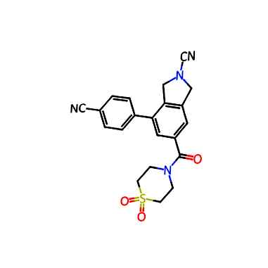 N#Cc1ccc(-c2cc(C(=O)N3CCS(=O)(=O)CC3)cc3c2CN(C#N)C3)cc1